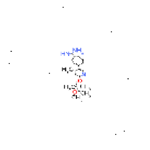 C=C(OC)C(C)(C)COc1cc(C)c(C2=CC=C(C(=N)N)C=CC2)cn1